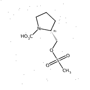 CS(=O)(=O)OC[C@H]1CCCN1C(=O)O